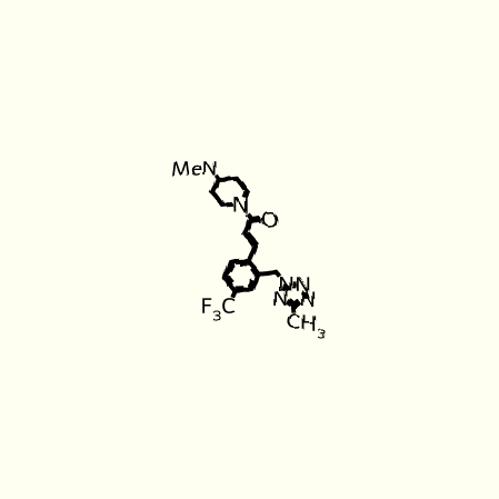 CNC1CCN(C(=O)C=Cc2ccc(C(F)(F)F)cc2Cn2nnc(C)n2)CC1